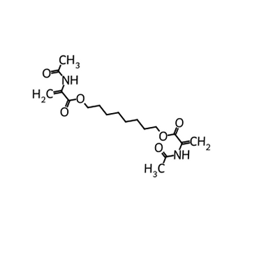 C=C(NC(C)=O)C(=O)OCCCCCCCCOC(=O)C(=C)NC(C)=O